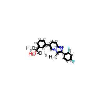 Cc1c(-c2ccc(F)cc2F)nc2ccc(-c3cccc(C(C)(C)O)c3)cn12